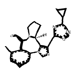 Cc1cccc2c1C(=O)N1CCC[C@H]1c1c(-c3nc(C4CC4)no3)ncn1-2